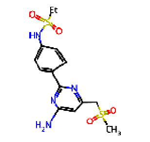 CCS(=O)(=O)Nc1ccc(-c2nc(N)cc(CS(C)(=O)=O)n2)cc1